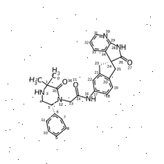 CC1(C)NC[C@@H](c2ccccc2)N(CC(=O)Nc2ccc3c(c2)C[C@@]2(C3)C(=O)Nc3ncccc32)C1=O